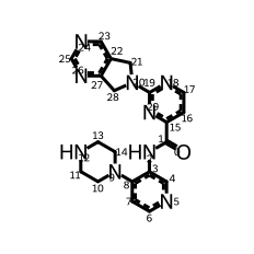 O=C(Nc1cnccc1N1CCNCC1)c1ccnc(N2Cc3cncnc3C2)n1